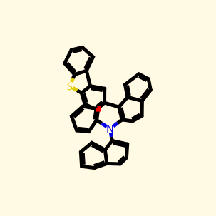 c1ccc(N(c2ccc3ccccc3c2-c2ccc3sc4ccccc4c3c2)c2cccc3ccccc23)cc1